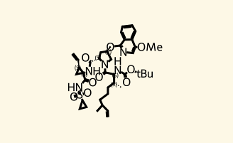 C=CC(C)CCC[C@@H](C)[C@H](NC(=O)OC(C)(C)C)C(=O)N1C[C@H](Oc2ncc(OC)c3ccccc23)C[C@H]1C(=O)N[C@]1(C(=O)NS(=O)(=O)C2CC2)C[C@H]1C=C